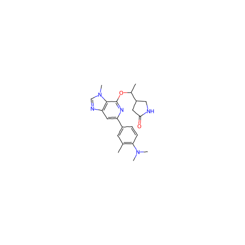 Cc1cc(-c2cc3ncn(C)c3c(OC(C)C3CNC(=O)C3)n2)ccc1N(C)C